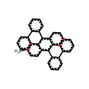 Bc1ccc2c(-c3ccccc3-c3ccccc3)c3ccccc3c(-c3ccccc3-c3ccccc3)c2c1